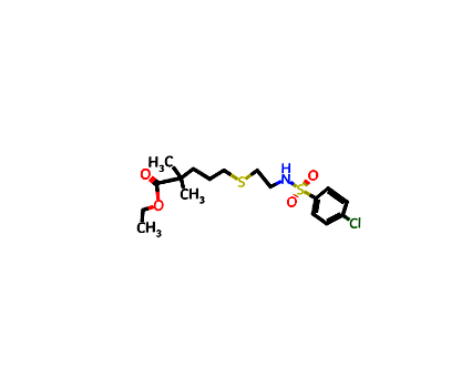 CCOC(=O)C(C)(C)CCCSCCNS(=O)(=O)c1ccc(Cl)cc1